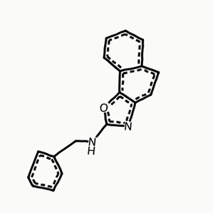 c1ccc(CNc2nc3ccc4ccccc4c3o2)cc1